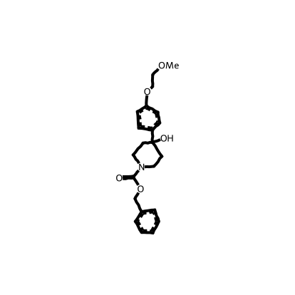 COCCOc1ccc(C2(O)CCN(C(=O)OCc3ccccc3)CC2)cc1